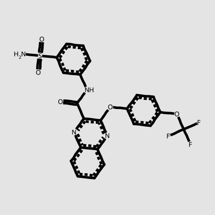 NS(=O)(=O)c1cccc(NC(=O)c2nc3ccccc3nc2Oc2ccc(OC(F)(F)F)cc2)c1